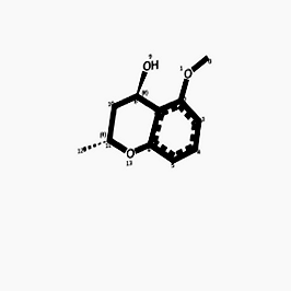 COc1cccc2c1[C@H](O)C[C@@H](C)O2